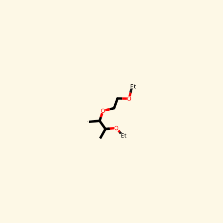 [CH2]C(OCCOCC)C(C)OCC